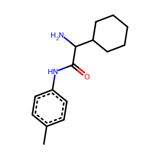 Cc1ccc(NC(=O)C(N)C2CCCCC2)cc1